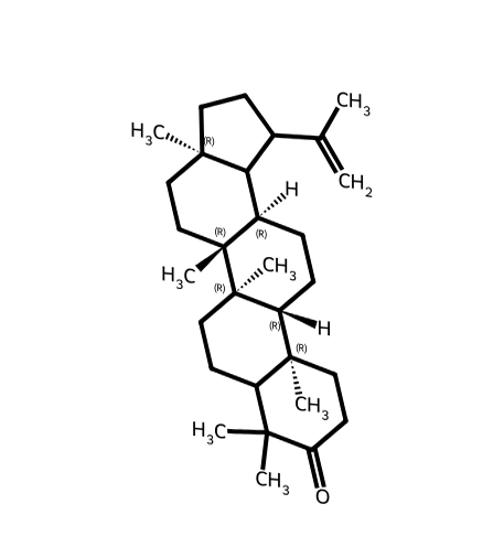 C=C(C)C1CC[C@]2(C)CC[C@]3(C)[C@H](CC[C@@H]4[C@@]5(C)CCC(=O)C(C)(C)C5CC[C@]43C)C12